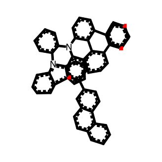 c1ccc(-c2ccccc2-c2c(-c3ccccc3)cccc2N(c2ccc(-c3ccc4c(ccc5ccccc54)c3)cc2)c2ccccc2-n2c3ccccc3c3ccccc32)cc1